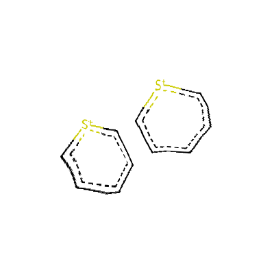 c1cc[s+]cc1.c1cc[s+]cc1